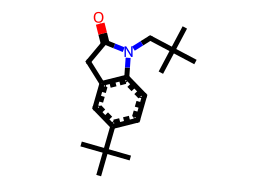 CC(C)(C)CN1C(=O)Cc2cc(C(C)(C)C)ccc21